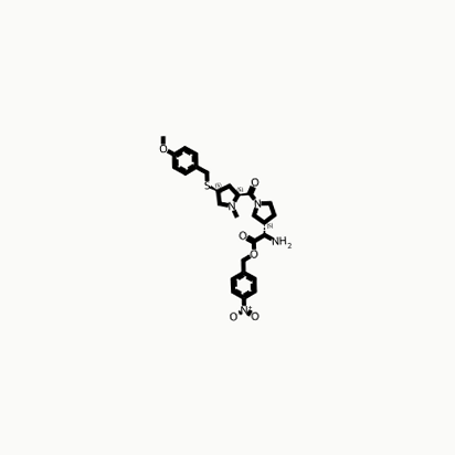 COc1ccc(CS[C@H]2C[C@@H](C(=O)N3CC[C@H](C(N)C(=O)OCc4ccc([N+](=O)[O-])cc4)C3)N(C)C2)cc1